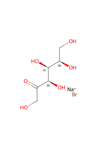 O=C(CO)[C@H](O)[C@@H](O)[C@H](O)CO.[Br-].[Na+]